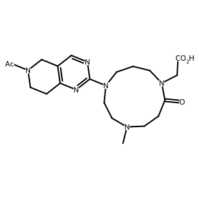 CC(=O)N1CCc2nc(N3CCCN(CC(=O)O)C(=O)CCN(C)CC3)ncc2C1